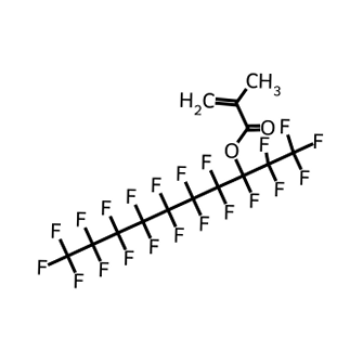 C=C(C)C(=O)OC(F)(C(F)(F)C(F)(F)F)C(F)(F)C(F)(F)C(F)(F)C(F)(F)C(F)(F)C(F)(F)C(F)(F)F